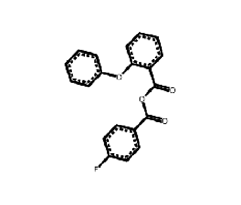 O=C(OC(=O)c1ccccc1Oc1ccccc1)c1ccc(F)cc1